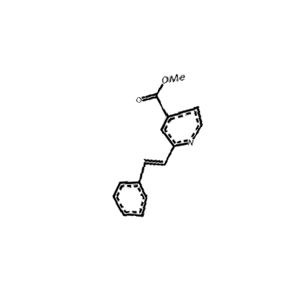 COC(=O)c1ccnc(C=Cc2ccccc2)c1